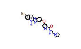 Cn1c(Nc2ccc(Br)cc2)nc2cc(Oc3ccnc(C(=O)NCCN4CCCC4)c3)ccc21